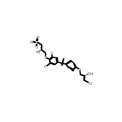 CCS(=O)(=O)C[C@@H](O)COc1c(Cl)cc(C(C)(C)c2ccc(OC[C@H](O)CCl)cc2)cc1Cl